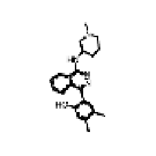 Cc1cc(O)c(-c2nnc(NC3CCCN(C)C3)c3ccccc23)cc1C